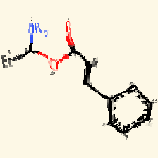 CCC(N)OC(=O)C=Cc1ccccc1